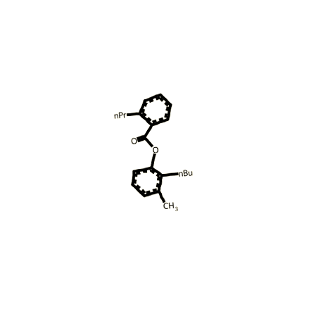 CCCCc1c(C)cccc1OC(=O)c1ccccc1CCC